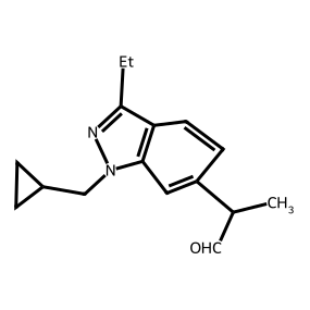 CCc1nn(CC2CC2)c2cc(C(C)C=O)ccc12